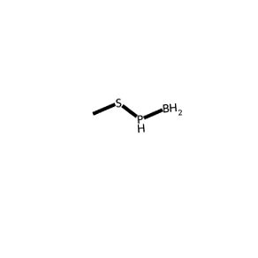 BPSC